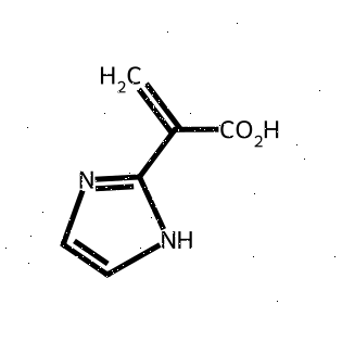 C=C(C(=O)O)c1ncc[nH]1